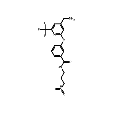 NCc1cc(Oc2cccc(C(=O)NCCC[SH](=O)=O)c2)nc(C(F)(F)F)c1